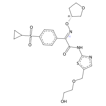 O=C(Nc1ncc(COCCO)s1)/C(=N/O[C@@H]1CCOC1)c1ccc(S(=O)(=O)C2CC2)cc1